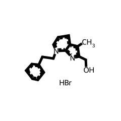 Br.Cc1c2cccn(CCc3ccccc3)c-2nc1CO